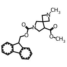 COC(=O)C1CN(C(=O)OCC2c3ccccc3-c3ccccc32)CC12CN(C)C2